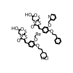 Cl.O=C(O)CN1C(=O)C(=Cc2ccc(OCCC3CCCCC3)c(O[CH2][Re])c2)SC1=S.O=C(O)CN1C(=O)C(=Cc2ccc(OCCc3ccccc3)c(OCc3ccccn3)c2)SC1=S